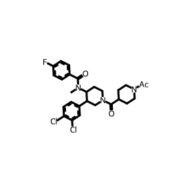 CC(=O)N1CCC(C(=O)N2CCC(N(C)C(=O)c3ccc(F)cc3)C(c3ccc(Cl)c(Cl)c3)C2)CC1